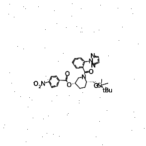 CC(C)(C)[Si](C)(C)OC[C@@H]1CC[C@H](OC(=O)c2ccc([N+](=O)[O-])cc2)CN1C(=O)c1ccccc1-n1nccn1